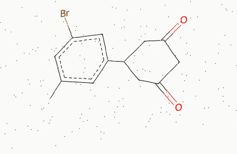 Cc1cc(Br)cc(C2CC(=O)CC(=O)C2)c1